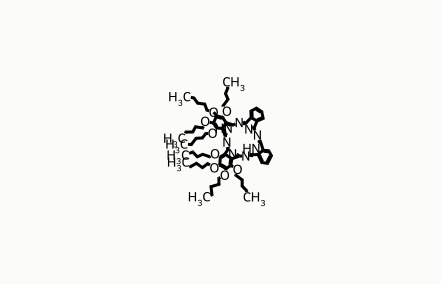 CCCCCOc1c(OCCCCC)c(OCCCCC)c2c(c1OCCCCC)-c1nc-2nc2[nH]c(nc3nc(nc4[nH]c(n1)c1ccccc41)-c1ccccc1-3)c1c(OCCCCC)c(OCCCCC)c(OCCCCC)c(OCCCCC)c21